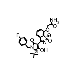 CC(C)(C)[C@H]1C(O)=C(C2=NS(=O)(=O)c3c(OCC(N)=O)cccc32)C(=O)N1Cc1ccc(F)cc1